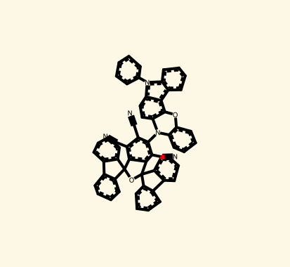 N#Cc1c(C#N)c2c(c(C#N)c1N1c3ccccc3Oc3c1ccc1c3c3ccccc3n1-c1ccccc1)C1(OC23c2ccccc2-c2ccccc23)c2ccccc2-c2ccccc21